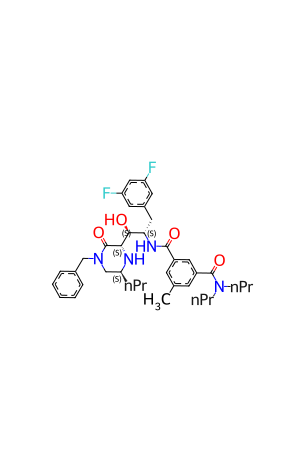 CCC[C@H]1CN(Cc2ccccc2)C(=O)[C@H]([C@@H](O)[C@H](Cc2cc(F)cc(F)c2)NC(=O)c2cc(C)cc(C(=O)N(CCC)CCC)c2)N1